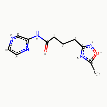 O=C(CCCc1noc(C(F)(F)F)n1)Nc1cnccn1